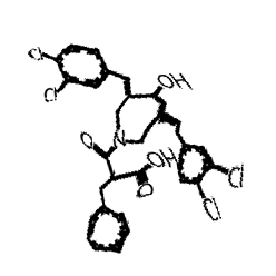 O=C(O)C(Cc1ccccc1)C(=O)N1C/C(=C\c2ccc(Cl)c(Cl)c2)C(O)/C(=C/c2ccc(Cl)c(Cl)c2)C1